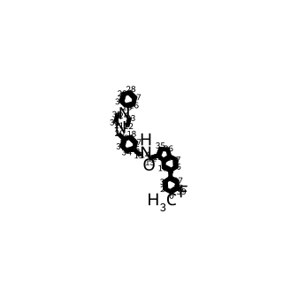 Cc1ccc(-c2ccc3c(c2)C(C(=O)NCc2ccc(CN4CCN(c5ccccc5)CC4)cc2)=CC3)cc1F